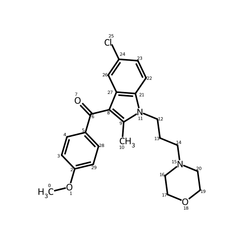 COc1ccc(C(=O)c2c(C)n(CCCN3CCOCC3)c3ccc(Cl)cc23)cc1